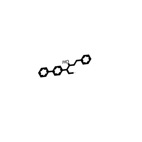 [CH2]CC(c1ccc(-c2ccccc2)cc1)C(O)CCc1ccccc1